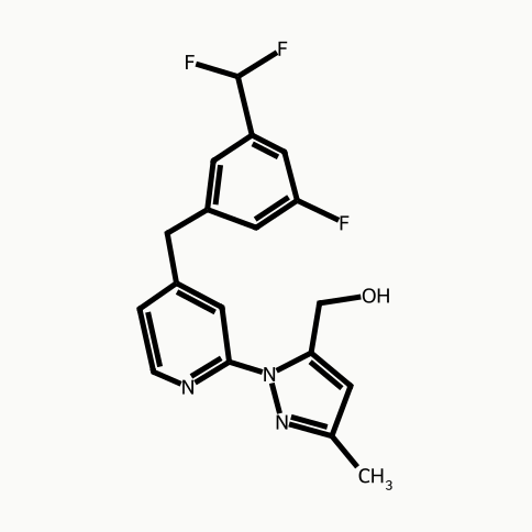 Cc1cc(CO)n(-c2cc(Cc3cc(F)cc(C(F)F)c3)ccn2)n1